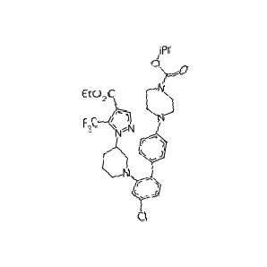 CCOC(=O)c1cnn(C2CCCN(c3cc(Cl)ccc3-c3ccc(N4CCN(C(=O)OC(C)C)CC4)cc3)C2)c1C(F)(F)F